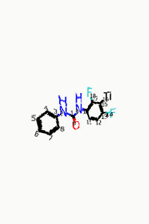 O=C(Nc1ccccc1)Nc1ccc(F)[c]([Ti])c1F